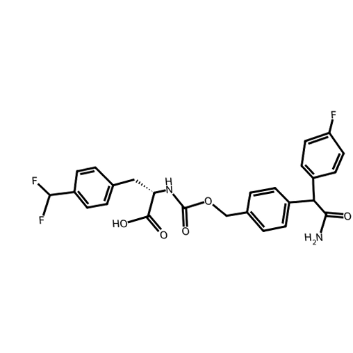 NC(=O)C(c1ccc(F)cc1)c1ccc(COC(=O)N[C@@H](Cc2ccc(C(F)F)cc2)C(=O)O)cc1